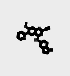 C#Cc1nc(Nc2ccc3[nH]ccc3c2)c2cc(-c3ccccn3)c(OC)cc2n1